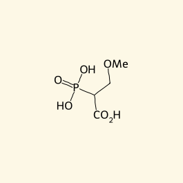 COCC(C(=O)O)P(=O)(O)O